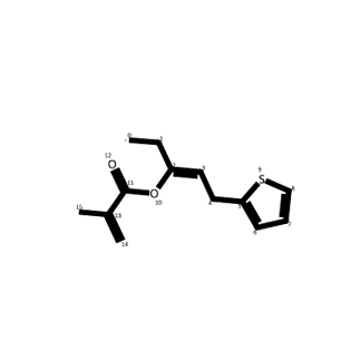 [CH2]CC(=CCc1cccs1)OC(=O)C(=C)C